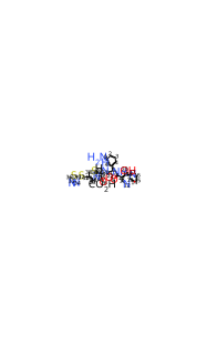 Nc1cccc(C(NC(=O)c2cnc3cccnc3c2O)C(=O)NC2C(=O)N3C(C(=O)O)=C(CSc4nncs4)CS[C@@H]23)c1